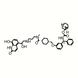 CN(CCCNC[C@H](O)c1ccc(O)c2[nH]c(=O)ccc12)C(=O)[C@H]1CC[C@H](COc2cccc([C@@H](NC(=O)O[C@H]3CN4CCC3CC4)c3ccccc3)c2)CC1